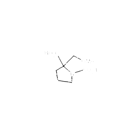 COCC1(C(=O)O)CCCN1C(=O)O